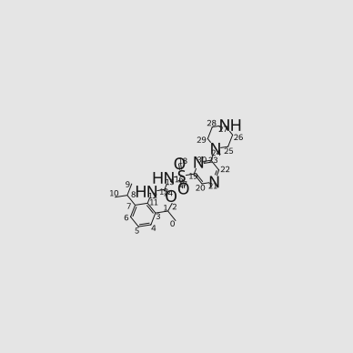 CC(C)c1cccc(C(C)C)c1NC(=O)NS(=O)(=O)c1cncc(N2CCNCC2)n1